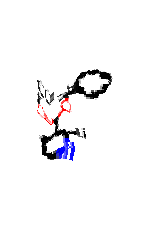 CC(=O)O.[Li][c]1ncccc1C(=O)OCc1ccccc1